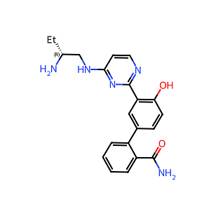 CC[C@@H](N)CNc1ccnc(-c2cc(-c3ccccc3C(N)=O)ccc2O)n1